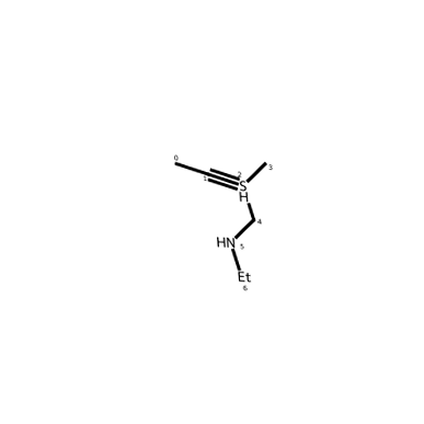 CC#[SH](C)CNCC